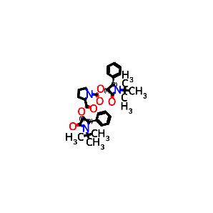 CC(C)(C)N1C(=O)[C@H](OC(=O)C2CCCN2C(=O)O[C@H]2C(=O)N(C(C)(C)C)[C@@H]2c2ccccc2)[C@H]1c1ccccc1